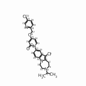 CC(C)N1CCc2c(Cl)c3cc(-n4ccc(OCc5ccc(Cl)cn5)cc4=O)ccc3n2CC1